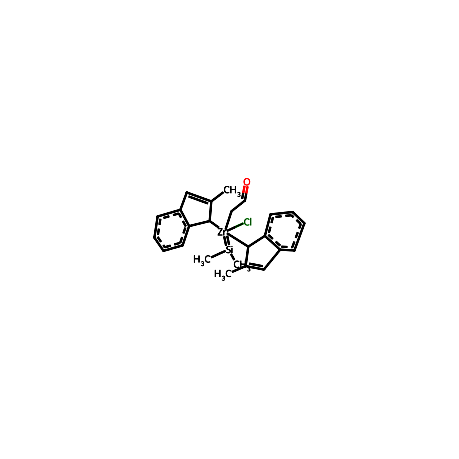 CC1=Cc2ccccc2[CH]1[Zr]([Cl])([CH2]C=O)([CH]1C(C)=Cc2ccccc21)=[Si](C)C